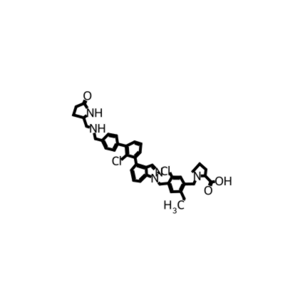 CCc1cc(Cn2ncc3c(-c4cccc(-c5ccc(CNCC6CCC(=O)N6)cc5)c4Cl)cccc32)c(Cl)cc1CN1CCCC1C(=O)O